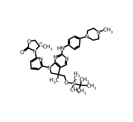 C[C@H]1COC(=O)N1c1cccc(N2CC(C)(CO[Si](C)(C)C(C)(C)C)c3cnc(Nc4ccc(N5CCN(C)CC5)cc4)nc32)n1